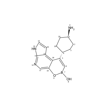 N[C@H]1CC[C@H](C2=CB(O)Oc3cnc4[nH]ccc4c32)CC1